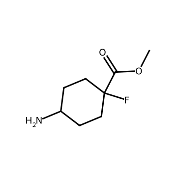 COC(=O)C1(F)CCC(N)CC1